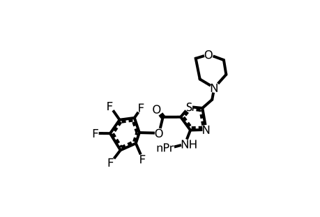 CCCNc1nc(CN2CCOCC2)sc1C(=O)Oc1c(F)c(F)c(F)c(F)c1F